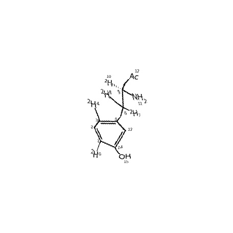 [2H]c1cc([2H])c(C([2H])([2H])[C@]([2H])(N)C(C)=O)cc1O